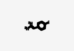 [2H]C([2H])=Cc1ccc(I)cc1